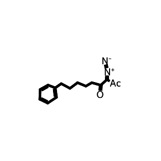 CC(=O)C(=[N+]=[N-])C(=O)CCCCCc1ccccc1